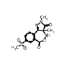 CN1N=C2c3ccc(S(C)(=O)=O)cc3C(=O)ONC2(C)C1=O